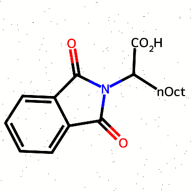 CCCCCCCCC(C(=O)O)N1C(=O)c2ccccc2C1=O